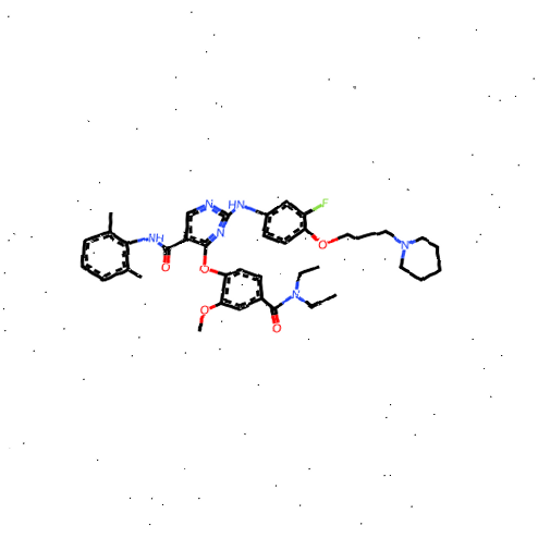 CCN(CC)C(=O)c1ccc(Oc2nc(Nc3ccc(OCCCN4CCCCC4)c(F)c3)ncc2C(=O)Nc2c(C)cccc2C)c(OC)c1